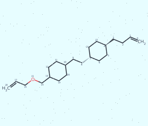 C=CCC[C@H]1CC[C@H](CCC2CCC(COCC=C)CC2)CC1